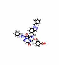 Cc1ccccc1Cn1ncc2c(CN3C[C@H]4N(C(=O)CN(C)N4C(=O)NCc4ccccc4)[C@@H](Cc4ccc(O)cc4)C3=O)cccc21